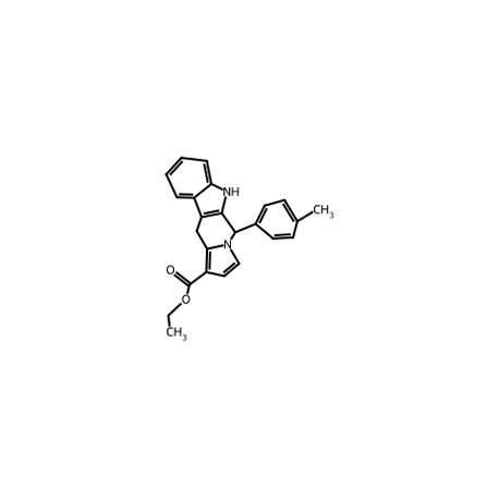 CCOC(=O)c1ccn2c1Cc1c([nH]c3ccccc13)C2c1ccc(C)cc1